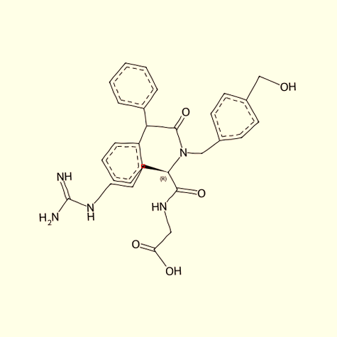 N=C(N)NCCC[C@H](C(=O)NCC(=O)O)N(Cc1ccc(CO)cc1)C(=O)C(c1ccccc1)c1ccccc1